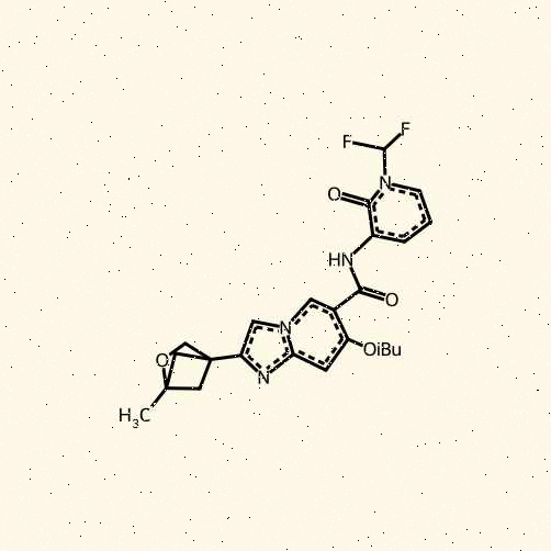 CC(C)COc1cc2nc(C34COC(C)(C3)C4)cn2cc1C(=O)Nc1cccn(C(F)F)c1=O